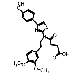 COc1ccc(-c2csc(N(CCc3ccc(OC)c(OC)c3)C(=O)CCC(=O)O)n2)cc1